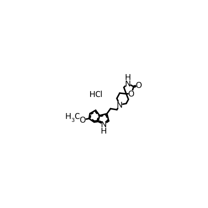 COc1ccc2c(CCN3CCC4(CC3)CNC(=O)O4)c[nH]c2c1.Cl